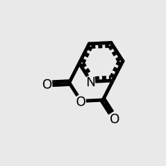 O=C1OC(=O)c2cccc1n2